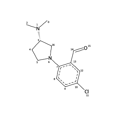 CN(C)[C@H]1CCN(c2ccc(Cl)cc2C=O)C1